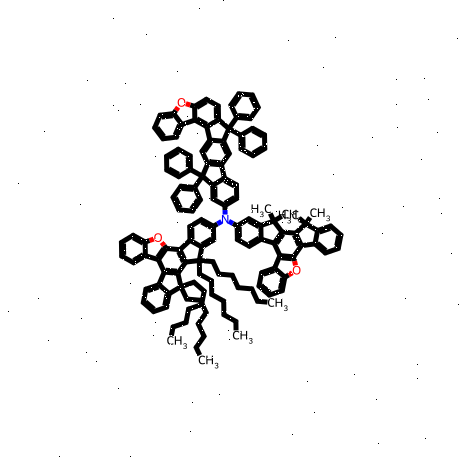 CCCCCCCC1(CCCCCCC)c2cc(N(c3ccc4c(c3)C(C)(C)c3c5c(c6oc7ccccc7c6c3-4)-c3ccccc3C5(C)C)c3ccc4c(c3)C(c3ccccc3)(c3ccccc3)c3cc5c(cc3-4)C(c3ccccc3)(c3ccccc3)c3ccc4oc6ccccc6c4c3-5)ccc2-c2c1c1c(c3c2oc2ccccc23)-c2ccccc2C1(CCCCCCC)CCCCCCC